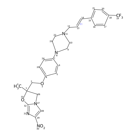 CC1(COc2ccc(N3CCN(C/C=C/c4ccc(C(F)(F)F)cc4)CC3)cc2)Cn2cc([N+](=O)[O-])nc2O1